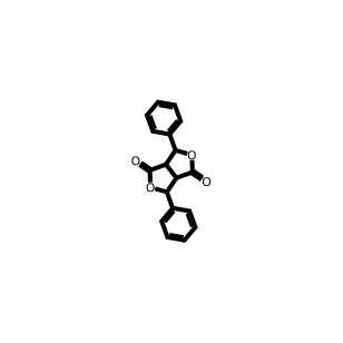 O=C1OC(c2ccccc2)C2C(=O)OC(c3ccccc3)C12